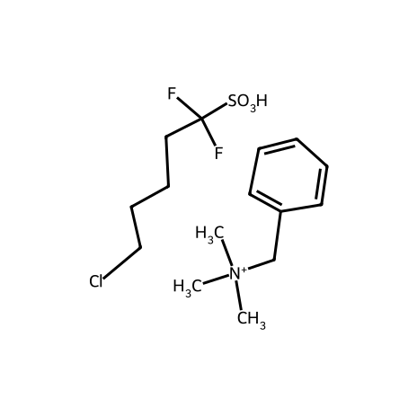 C[N+](C)(C)Cc1ccccc1.O=S(=O)(O)C(F)(F)CCCCCl